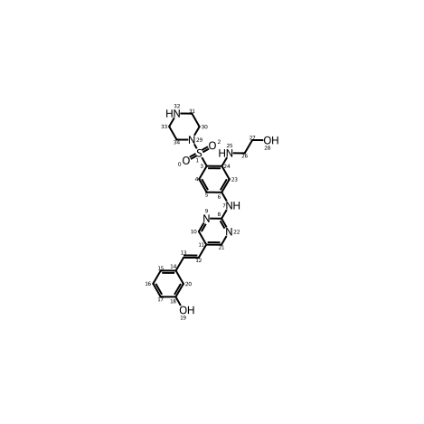 O=S(=O)(c1ccc(Nc2ncc(C=Cc3cccc(O)c3)cn2)cc1NCCO)N1CCNCC1